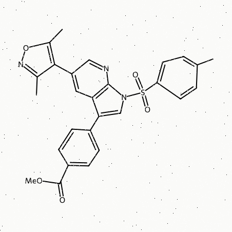 COC(=O)c1ccc(-c2cn(S(=O)(=O)c3ccc(C)cc3)c3ncc(-c4c(C)noc4C)cc23)cc1